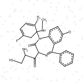 CNC1(N2C(=O)C(C(=O)C(N)CS)N=C(c3ccccc3)c3cc(Cl)ccc32)CC(F)=CC=C1C